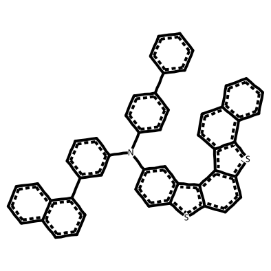 c1ccc(-c2ccc(N(c3cccc(-c4cccc5ccccc45)c3)c3ccc4sc5ccc6sc7c8ccccc8ccc7c6c5c4c3)cc2)cc1